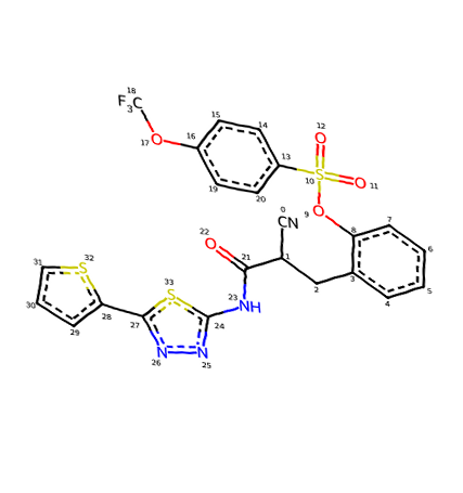 N#CC(Cc1ccccc1OS(=O)(=O)c1ccc(OC(F)(F)F)cc1)C(=O)Nc1nnc(-c2cccs2)s1